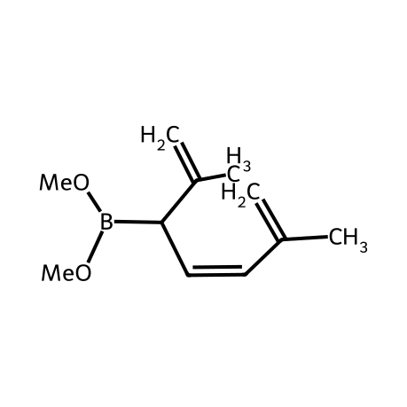 C=C(C)/C=C\C(B(OC)OC)C(=C)C